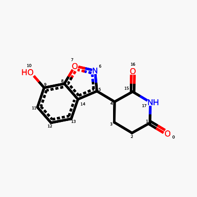 O=C1CCC(c2noc3c(O)cccc23)C(=O)N1